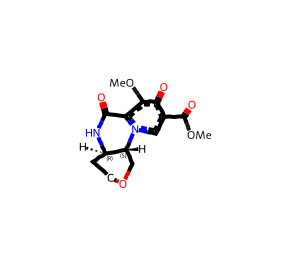 COC(=O)c1cn2c(c(OC)c1=O)C(=O)N[C@@H]1CCOC[C@H]12